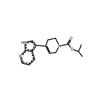 CC(C)OC(=O)N1CC=C(c2c[nH]c3ncccc23)CC1